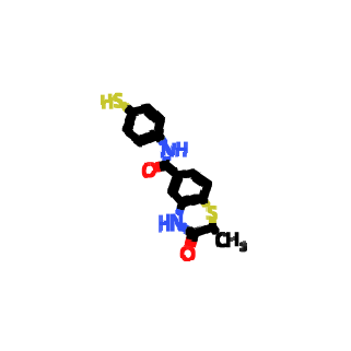 CC1Sc2ccc(C(=O)Nc3ccc(S)cc3)cc2NC1=O